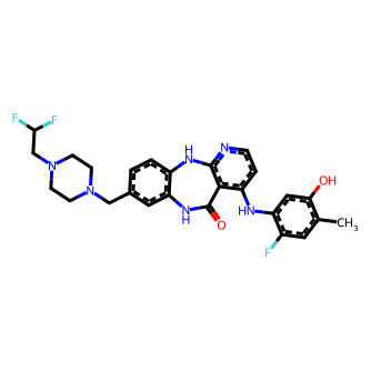 Cc1cc(F)c(Nc2ccnc3c2C(=O)Nc2cc(CN4CCN(CC(F)F)CC4)ccc2N3)cc1O